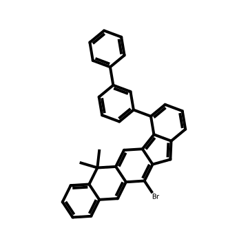 CC1(C)c2ccccc2C=c2c1cc1c(c2Br)C=c2cccc(-c3cccc(-c4ccccc4)c3)c2=1